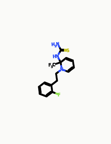 NC(=S)NC1(C(F)(F)F)C=CC=CN1CCc1ccccc1F